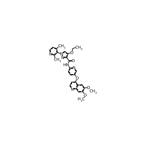 CCOc1cn(-c2c(C)ccnc2C)nc1C(=O)Nc1ccc(Oc2ccnc3cc(OC)c(OC)cc23)cn1